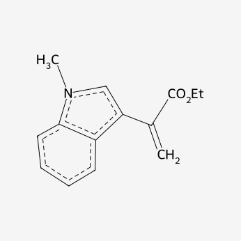 C=C(C(=O)OCC)c1cn(C)c2ccccc12